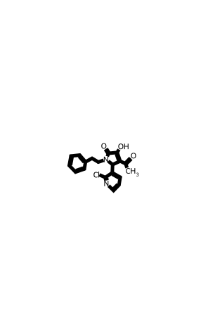 CC(=O)C1=C(O)C(=O)N(CCc2ccccc2)C1c1cccnc1Cl